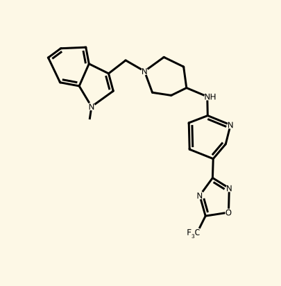 Cn1cc(CN2CCC(Nc3ccc(-c4noc(C(F)(F)F)n4)cn3)CC2)c2ccccc21